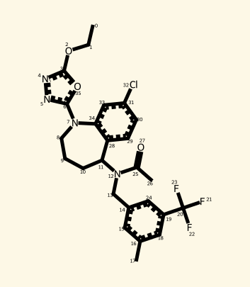 CCOc1nnc(N2CCCC(N(Cc3cc(C)cc(C(F)(F)F)c3)C(C)=O)c3ccc(Cl)cc32)o1